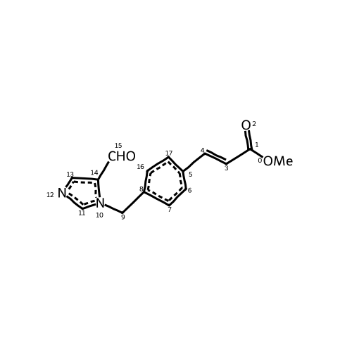 COC(=O)C=Cc1ccc(Cn2cncc2C=O)cc1